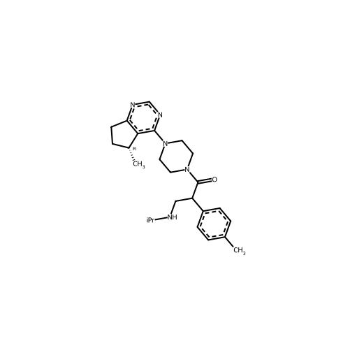 Cc1ccc(C(CNC(C)C)C(=O)N2CCN(c3ncnc4c3[C@H](C)CC4)CC2)cc1